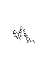 CC(C(N)=O)N(c1ccc(F)cc1)c1nc(N)c(C(=O)c2cc(CN3CCC(F)(F)C(C)C3)no2)s1